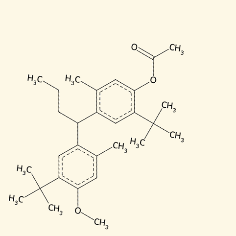 CCCC(c1cc(C(C)(C)C)c(OC)cc1C)c1cc(C(C)(C)C)c(OC(C)=O)cc1C